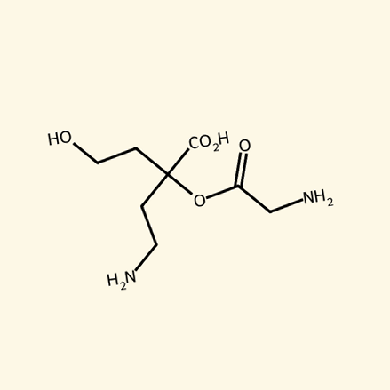 NCCC(CCO)(OC(=O)CN)C(=O)O